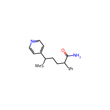 CSC(CCC(C(N)=O)C(C)C)c1ccncc1